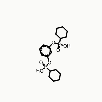 O=P(O)(Oc1cccc(OP(=O)(O)C2CCCCC2)c1)C1CCCCC1